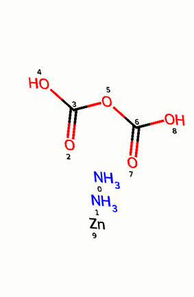 N.N.O=C(O)OC(=O)O.[Zn]